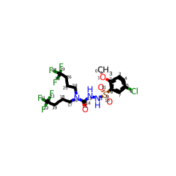 COc1ccc(Cl)cc1S(=O)(=O)NNC(=O)N(CCCC(F)(F)F)CCCC(F)(F)F